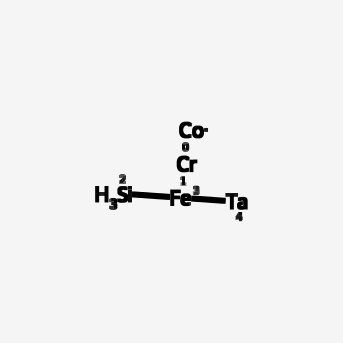 [Co].[Cr].[SiH3][Fe][Ta]